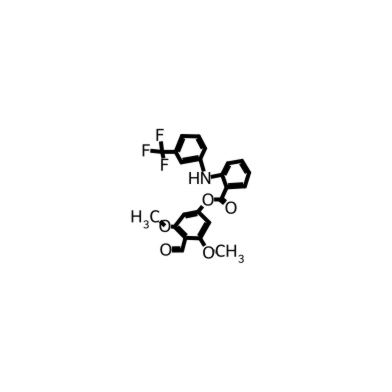 COc1cc(OC(=O)c2ccccc2Nc2cccc(C(F)(F)F)c2)cc(OC)c1C=O